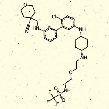 N#CC1(CNc2cccc(-c3cc(N[C@H]4CC[C@H](NCCOCCNS(=O)(=O)C(F)(F)F)CC4)ncc3Cl)n2)CCOCC1